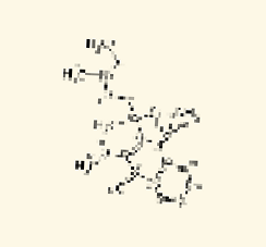 CCN(C)OCC(C)(C)C1=C(OC)C(=O)c2ccccc2C1=O.N